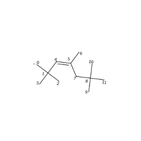 [CH2]C(C)(C)C=C(C)CC(C)(C)C